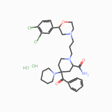 Cl.Cl.NC(=O)C1CC(C(=O)c2ccccc2)(N2CCCCC2)CCN1CCCN1CCOC(c2ccc(Cl)c(Cl)c2)C1